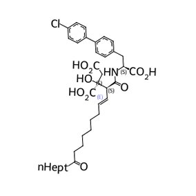 CCCCCCCC(=O)CCCCCC/C=C/[C@H](C(=O)N[C@@H](Cc1ccc(-c2ccc(Cl)cc2)cc1)C(=O)O)[C@@](O)(CC(=O)O)C(=O)O